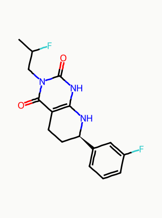 CC(F)Cn1c(=O)[nH]c2c(c1=O)CC[C@H](c1cccc(F)c1)N2